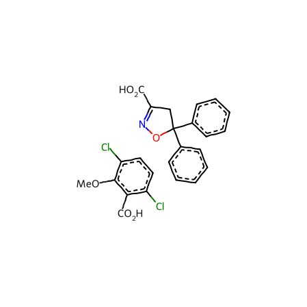 COc1c(Cl)ccc(Cl)c1C(=O)O.O=C(O)C1=NOC(c2ccccc2)(c2ccccc2)C1